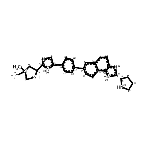 C[Si]1(C)CNC(c2ncc(-c3ccc(-c4ccc5c(ccc6nc([C@@H]7CCCN7)[nH]c65)c4)cc3)[nH]2)C1